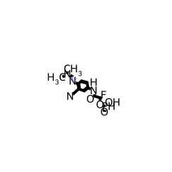 CN(C)/C=N/c1ccc(NC(=O)C(F)O[PH](=O)O)cc1C#N